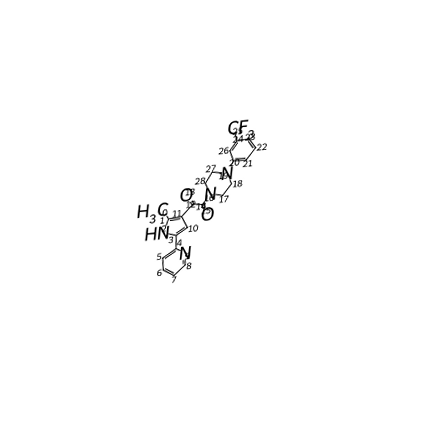 Cc1[nH]c(-c2ccccn2)cc1C(=O)C(=O)N1CCN(c2cccc(C(F)(F)F)c2)CC1